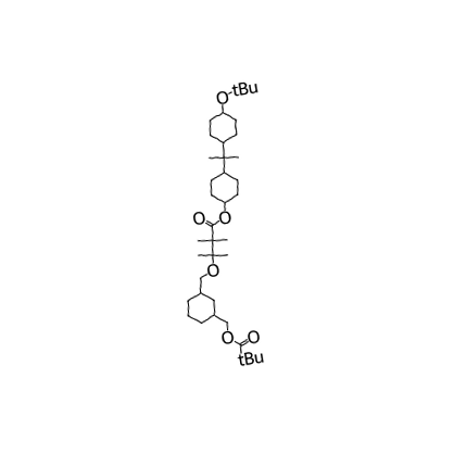 CC(C)(C)OC1CCC(C(C)(C)C2CCC(OC(=O)C(C)(C)C(C)(C)OCC3CCCC(COC(=O)C(C)(C)C)C3)CC2)CC1